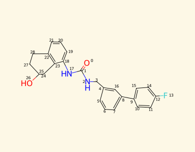 O=C(NCc1cccc(-c2ccc(F)cc2)c1)Nc1cccc2c1CC(O)CC2